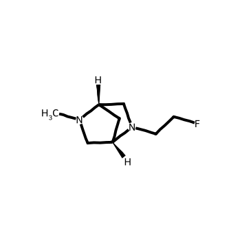 CN1C[C@@H]2C[C@H]1CN2CCF